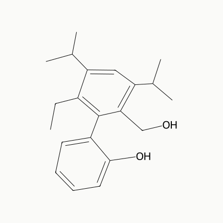 CCc1c(C(C)C)cc(C(C)C)c(CO)c1-c1ccccc1O